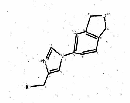 OCc1cn(-c2ccc3c(c2)COC3)cn1